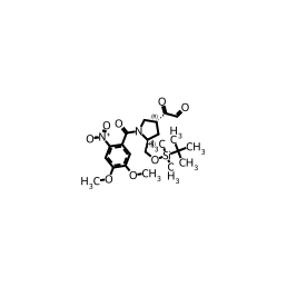 COc1cc(C(=O)N2C[C@H](C(=O)C=O)C[C@H]2CO[Si](C)(C)C(C)(C)C)c([N+](=O)[O-])cc1OC